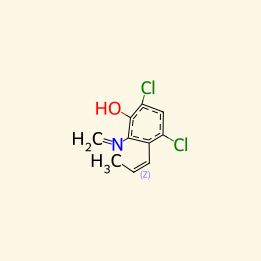 C=Nc1c(O)c(Cl)cc(Cl)c1/C=C\C